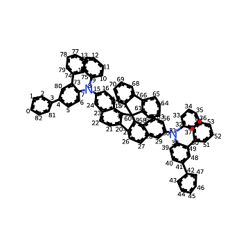 c1ccc(-c2ccc(N(c3ccccc3)c3ccc4c5c(ccc4c3)-c3ccc4cc(N(c6ccccc6)c6ccc(-c7ccccc7)cc6-c6ccccc6)ccc4c3C53c4ccccc4-c4ccccc43)c(-c3ccccc3)c2)cc1